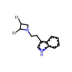 CCC1CN(CCc2c[nH]c3ccccc23)C1CC